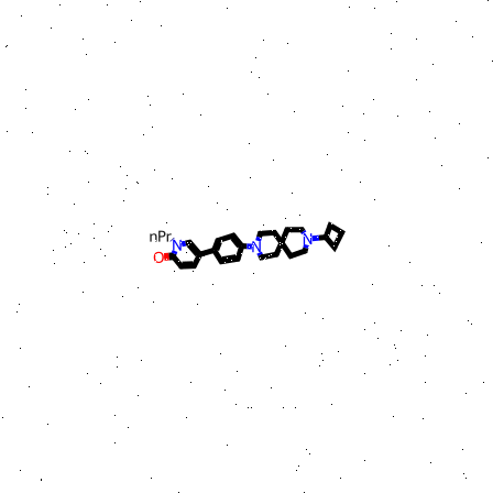 CCCn1cc(-c2ccc(N3CCC4(CC3)CCN(C3CCC3)CC4)cc2)ccc1=O